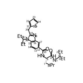 CCC(CC)NC(=O)[C@H](CC(C)C)NC(=O)c1ccc2c(c1)nc(Cc1cccs1)n2C(CC)CC